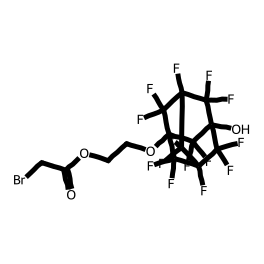 O=C(CBr)OCCOC12C(F)(F)C3(O)C(F)(F)C(F)(C(F)(F)C(F)(C3(F)F)C1(F)F)C2(F)F